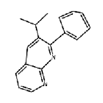 CC(C)c1cc2cccnc2nc1-c1ccccc1